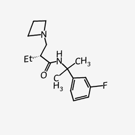 CC[C@H](CN1CCC1)C(=O)NC(C)(C)c1cccc(F)c1